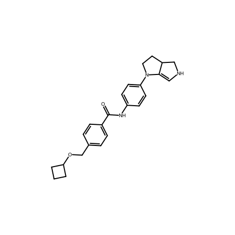 O=C(Nc1ccc(N2CCC3CNC=C32)cc1)c1ccc(COC2CCC2)cc1